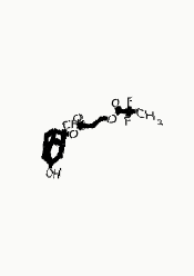 CC(F)(F)C(=O)OCCC(=O)OC1(C)C2CC3CC1CC(O)(C3)C2